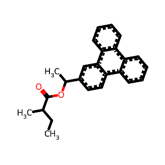 CCC(C)C(=O)OC(C)c1ccc2c3ccccc3c3ccccc3c2c1